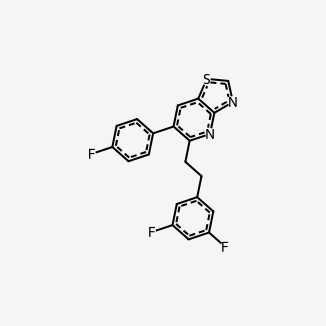 Fc1ccc(-c2cc3scnc3nc2CCc2cc(F)cc(F)c2)cc1